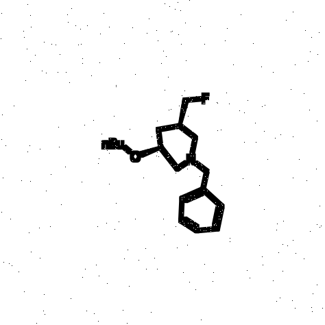 CCCCO[C@H]1C[C@@H](CF)CN(Cc2ccccc2)C1